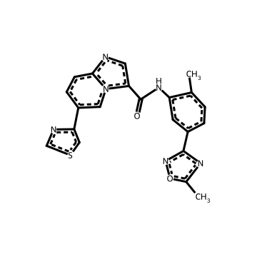 Cc1nc(-c2ccc(C)c(NC(=O)c3cnc4ccc(-c5cscn5)cn34)c2)no1